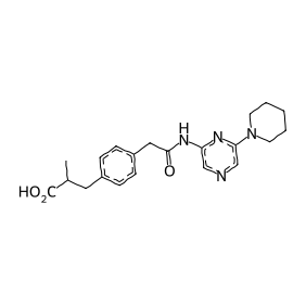 CC(Cc1ccc(CC(=O)Nc2cncc(N3CCCCC3)n2)cc1)C(=O)O